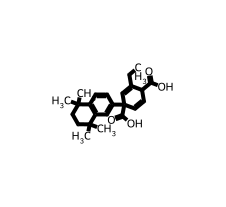 CCC1=CC(C(=O)O)(c2ccc3c(c2)C(C)(C)CCC3(C)C)C=CC1C(=O)O